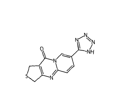 O=c1c2c(nc3ccc(-c4nnn[nH]4)cn13)CSC2